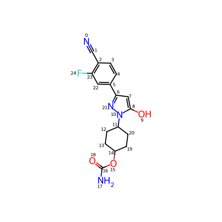 N#Cc1ccc(-c2cc(O)n(C3CCC(OC(N)=O)CC3)n2)cc1F